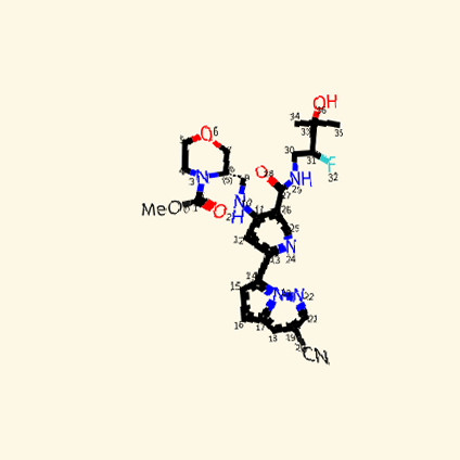 COC(=O)N1CCOC[C@@H]1CNc1cc(-c2ccc3cc(C#N)cnn23)ncc1C(=O)NCC(F)C(C)(C)O